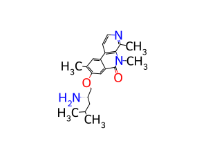 Cc1cc2c(cc1OC[C@@H](N)CC(C)C)c(=O)n(C)c1c(C)nccc21